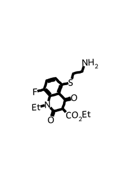 CCOC(=O)C1C(=O)c2c(SCCN)ccc(F)c2N(CC)C1=O